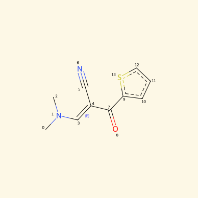 CN(C)/C=C(\C#N)C(=O)c1cccs1